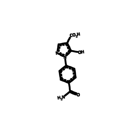 NC(=O)c1ccc(-n2ncc(C(=O)O)c2O)cc1